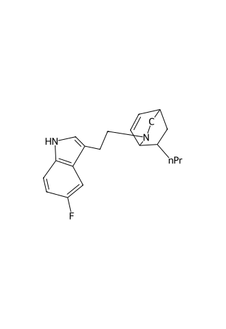 CCCC1CC2C=CC1N(CCc1c[nH]c3ccc(F)cc13)C2